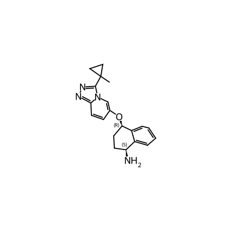 CC1(c2nnc3ccc(O[C@@H]4CC[C@H](N)c5ccccc54)cn23)CC1